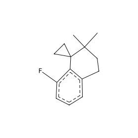 CC1(C)CCc2cccc(F)c2C12CC2